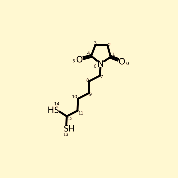 O=C1CCC(=O)N1CCCCCC(S)S